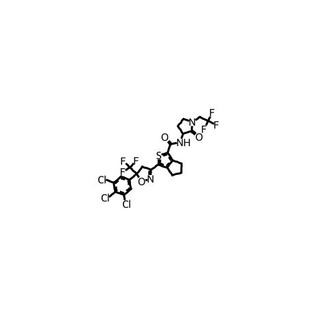 O=C(NC1CCN(CC(F)(F)F)C1=O)c1sc(C2=NOC(c3cc(Cl)c(Cl)c(Cl)c3)(C(F)(F)F)C2)c2c1CCC2